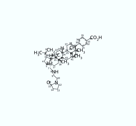 C=C(C)[C@@H]1CC[C@]2(CNCCN3CCCC3=O)CC[C@]3(C)[C@H](CC[C@@H]4[C@@]5(C)CC=C(c6ccc(C(=O)O)cc6)C(C)(C)[C@@H]5CC[C@]43C)[C@@H]12